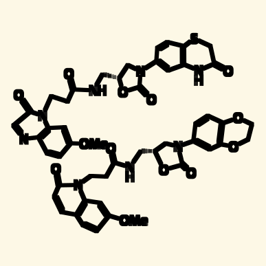 COc1ccc2ccc(=O)n(CCC(=O)NC[C@@H]3CN(c4ccc5c(c4)OCCO5)C(=O)O3)c2c1.COc1ccc2ncc(=O)n(CCC(=O)NC[C@@H]3CN(c4ccc5c(c4)NC(=O)CS5)C(=O)O3)c2c1